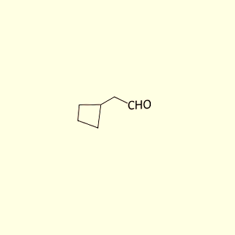 O=CCC1CCC1